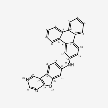 c1ccc2c(c1)c1ccccc1c1cc(Nc3ccc4c(c3)oc3ccncc34)ccc21